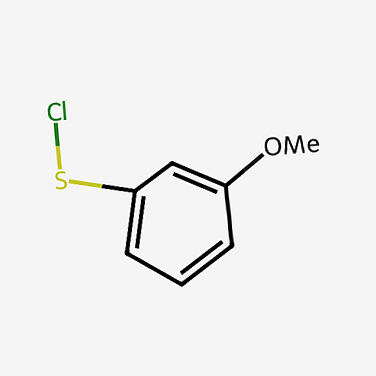 COc1cccc(SCl)c1